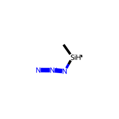 C[SiH](C)N=[N+]=[N-]